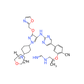 C[C@@H](CNC=N)Oc1cc(-c2cnc(Nc3cn(C4CCC(N5[C@@H]6CC[C@H]5COC6)CC4)nc3OCc3ncco3)nc2)ccc1C#N